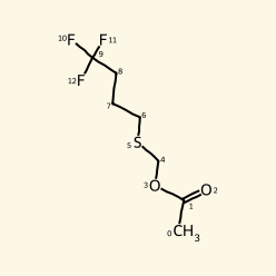 CC(=O)OCSCCCC(F)(F)F